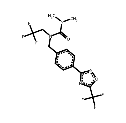 CN(C)C(=O)N(Cc1ccc(-c2noc(C(F)(F)F)n2)cc1)CC(F)(F)F